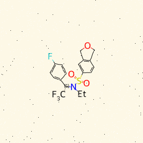 CCN([C@@H](c1ccc(F)cc1)C(F)(F)F)S(=O)(=O)c1ccc2c(c1)COC2